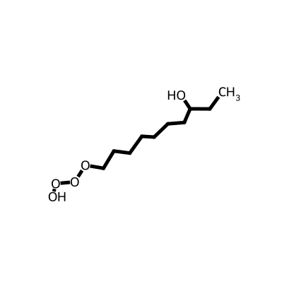 CCC(O)CCCCCCCOOOO